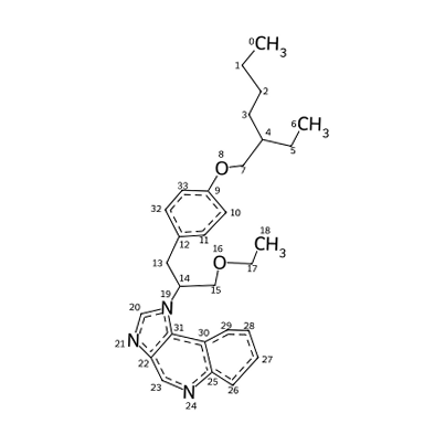 CCCCC(CC)COc1ccc(CC(COCC)n2cnc3cnc4ccccc4c32)cc1